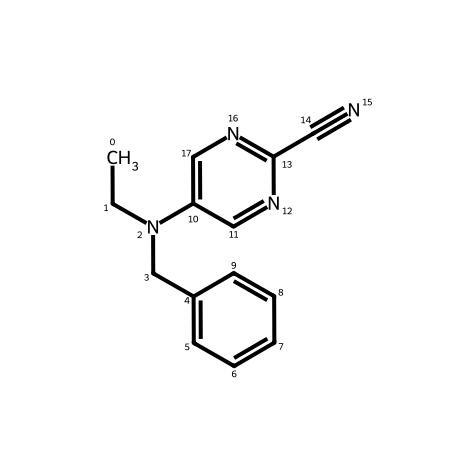 CCN(Cc1ccccc1)c1cnc(C#N)nc1